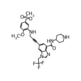 COc1ccc(S(C)(=O)=O)cc1NCC#Cc1cc(C(=O)NC2CCNCC2)c2ncn(CC(F)(F)F)c2c1